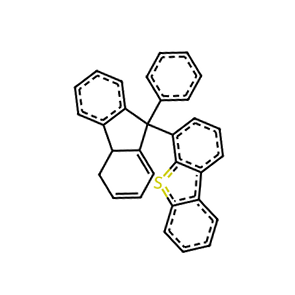 C1=CCC2C(=C1)C(c1ccccc1)(c1cccc3c1sc1ccccc13)c1ccccc12